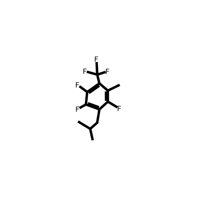 Cc1c(F)c(CC(C)C)c(F)c(F)c1C(F)(F)F